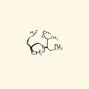 C=C(/C=C\CC)CNC(CC)C(C)OC